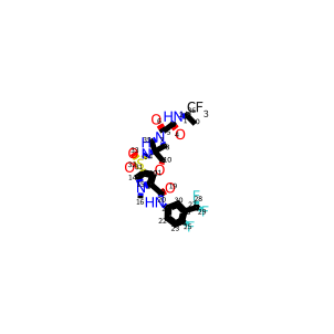 CC(NC(=O)C(=O)N1CC2(COc3c(cn(C)c3C(=O)Nc3ccc(F)c(C(F)F)c3)S(=O)(=O)N2)C1)C(F)(F)F